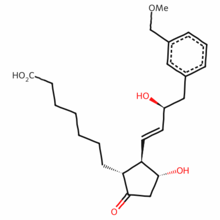 COCc1cccc(C[C@H](O)/C=C/[C@H]2[C@H](O)CC(=O)[C@@H]2CCCCCCC(=O)O)c1